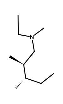 CC[C@H](C)[C@@H](C)CN(C)CC